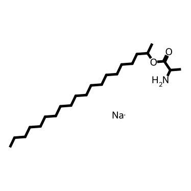 CCCCCCCCCCCCCCCCCCC(C)OC(=O)C(C)N.[Na]